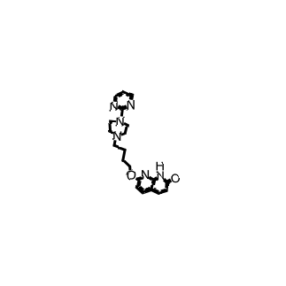 O=c1ccc2ccc(OCCCCN3CCN(c4ncccn4)CC3)nc2[nH]1